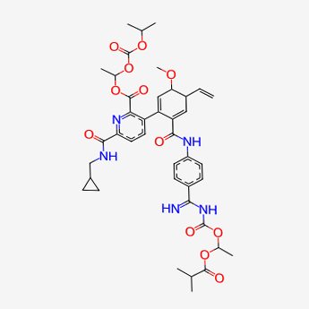 C=CC1C=C(C(=O)Nc2ccc(C(=N)NC(=O)OC(C)OC(=O)C(C)C)cc2)C(c2ccc(C(=O)NCC3CC3)nc2C(=O)OC(C)OC(=O)OC(C)C)=CC1OC